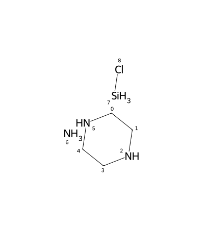 C1CNCCN1.N.[SiH3]Cl